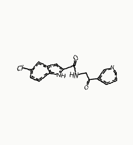 O=C(CNC(=O)c1cc2cc(Cl)ccc2[nH]1)c1cccnc1